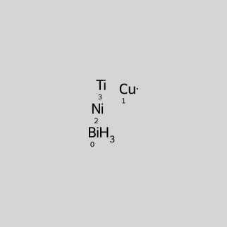 [BiH3].[Cu].[Ni].[Ti]